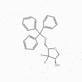 O[C@@H]1CO[C@H](COC(c2ccccc2)(c2ccccc2)c2ccccc2)C1(F)F